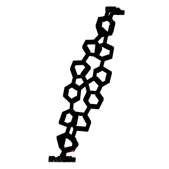 COC1=CCC(c2ccc(-c3ccc4c(c3)C3(c5cc(-c6ccc(-c7ccc(OC)cc7)cc6)ccc5-c5ccc(-c6ccc(-c7ccc(OC)cc7)cc6)cc53)c3cc(-c5ccc(-c6ccc(OC)cc6)cc5)ccc3-4)cc2)C=C1